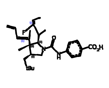 C=C/C=C(\C)[C@@]1(C)[C@H](CC(C)(C)C)CN(C(=O)Nc2ccc(C(=O)O)cc2)[C@@H]1C(C)/C(F)=C\C